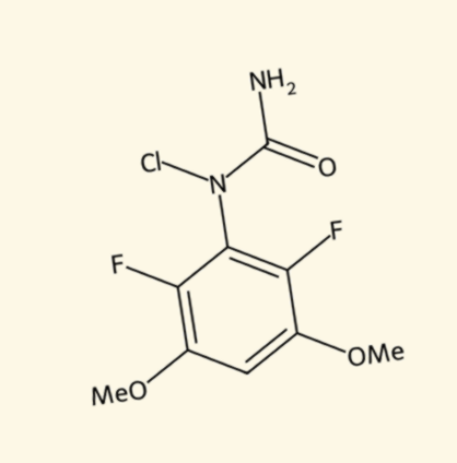 COc1cc(OC)c(F)c(N(Cl)C(N)=O)c1F